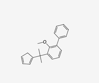 COc1c(-c2ccccc2)cccc1C(C)(C)C1=CC=CC1